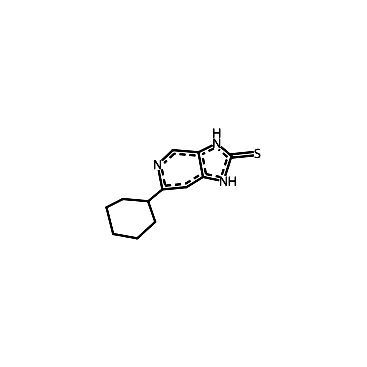 S=c1[nH]c2cnc(C3CCCCC3)cc2[nH]1